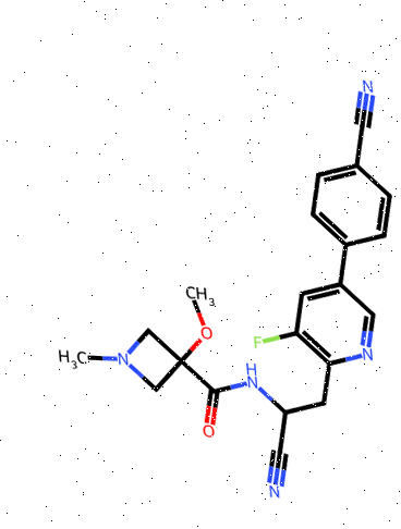 COC1(C(=O)NC(C#N)Cc2ncc(-c3ccc(C#N)cc3)cc2F)CN(C)C1